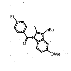 CCCCc1c(C)n(C(=O)c2ccc(CC)cc2)c2ccc(OC)cc12